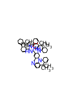 CN1C(C2CC=CCC2)NC(C2=CC(C#N)C(N3c4ccccc4C(C)(C)C4C=CCCC43)CC2N2C3=C(C=CCC3)C(C)(C)C3=C2CCCC3)NC1C1C=CCC2C3=CCCCC3C(C)(C)C21